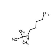 CCCCCNC(C)(C)O